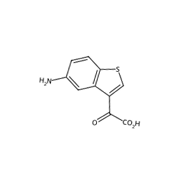 Nc1ccc2scc(C(=O)C(=O)O)c2c1